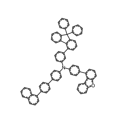 c1ccc(C2(c3ccccc3)c3ccccc3-c3c(-c4cccc(N(c5ccc(-c6ccc(-c7cccc8ccccc78)cc6)cc5)c5ccc(-c6cccc7oc8ccccc8c67)cc5)c4)cccc32)cc1